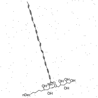 CC#CC#CC#CC#CC#CC#CC#CC#CC#CC#CC#CC#CC(=O)N[C@@H](COCC(O)[C@@H](O)[C@@H](O)CO)[C@H](O)[C@H](O)CCCCCCCCCCCCCC